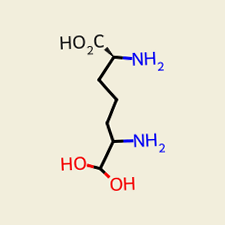 NC(CCC[C@H](N)C(=O)O)C(O)O